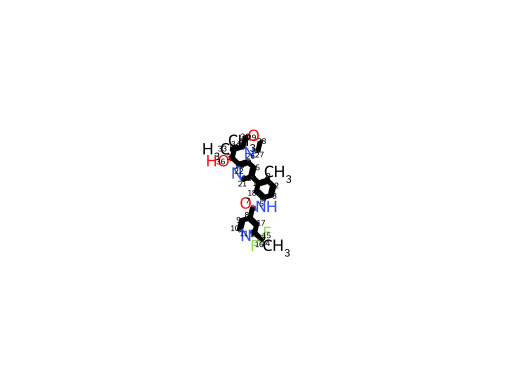 Cc1ccc(NC(=O)c2ccnc(C(C)(F)F)c2)cc1-c1cnc2c(c1)N1CCOCC1C(C)(C)C2O